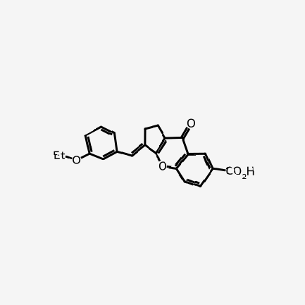 CCOc1cccc(C=C2CCc3c2oc2ccc(C(=O)O)cc2c3=O)c1